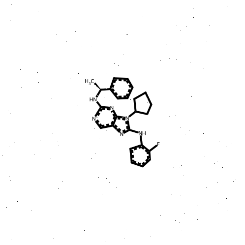 C[C@H](Nc1ncc2nc(Nc3ccccc3F)n(C3CCCC3)c2n1)c1ccccc1